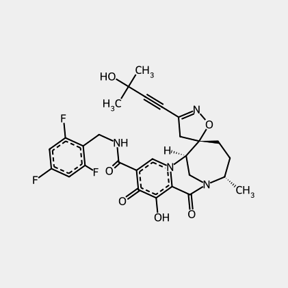 C[C@H]1CC[C@]2(CC(C#CC(C)(C)O)=NO2)[C@H]2CN1C(=O)c1c(O)c(=O)c(C(=O)NCc3c(F)cc(F)cc3F)cn12